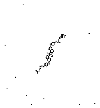 CC(C)CCCC(C)CCc1ccc(Sc2ccc3c(ccc4sc5c(sc6ccc7cc(Sc8ccc(CCC(C)CCCC(C)C)cc8)ccc7c65)c43)c2)cc1